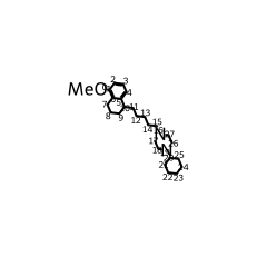 COc1cccc2c1CCCC2CCCCCN1CCN(C2CCCCC2)CC1